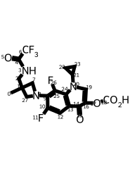 CC1(CNC(=O)C(F)(F)F)CN(c2c(F)cc3c(=O)c(OC(=O)O)cn(C4CC4)c3c2F)C1